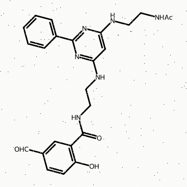 CC(=O)NCCNc1cc(NCCNC(=O)c2cc(C=O)ccc2O)nc(-c2ccccc2)n1